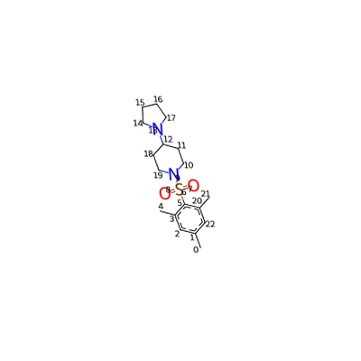 Cc1cc(C)c(S(=O)(=O)N2CCC(N3CCCC3)CC2)c(C)c1